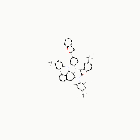 Cc1cc2c3c(c1)N(c1c(C)cc(C(C)(C)C)cc1C)c1oc4ccc(C(C)(C)C)cc4c1B3c1ccc(-c3cc4ccccc4o3)cc1N2c1ccc(C(C)(C)C)cc1-c1ccccc1